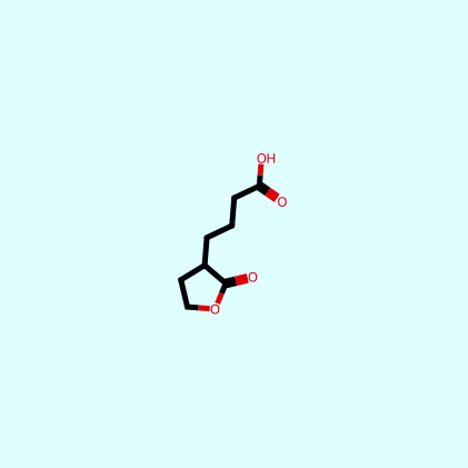 O=C(O)CCCC1CCOC1=O